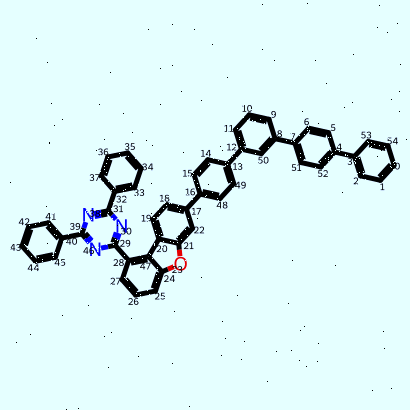 c1ccc(-c2ccc(-c3cccc(-c4ccc(-c5ccc6c(c5)oc5cccc(-c7nc(-c8ccccc8)nc(-c8ccccc8)n7)c56)cc4)c3)cc2)cc1